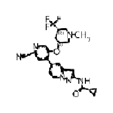 CN1C[C@@H](Oc2cnc(C#N)cc2-c2ccn3nc(NC(=O)C4CC4)cc3c2)C[C@@H](C(F)(F)F)C1